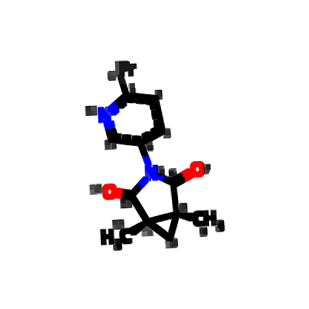 CC(C)c1ccc(N2C(=O)[C@]3(C)C[C@]3(C)C2=O)cn1